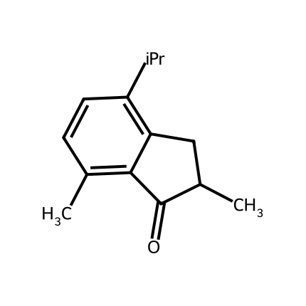 Cc1ccc(C(C)C)c2c1C(=O)C(C)C2